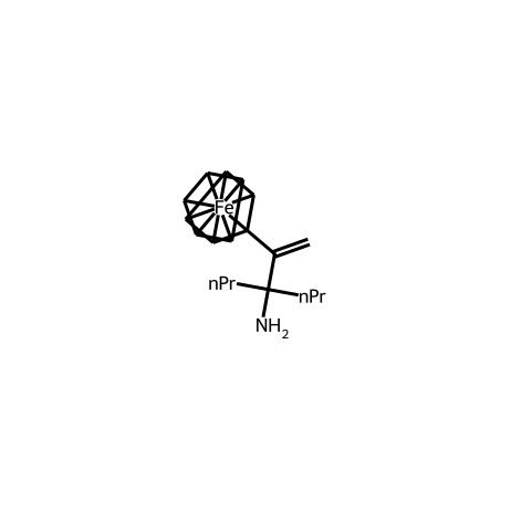 C=C(C(N)(CCC)CCC)[C]12[CH]3[CH]4[CH]5[CH]1[Fe]45321678[CH]2[CH]1[CH]6[CH]7[CH]28